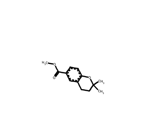 COC(=O)c1ccc2c(c1)CCC(C)(C)O2